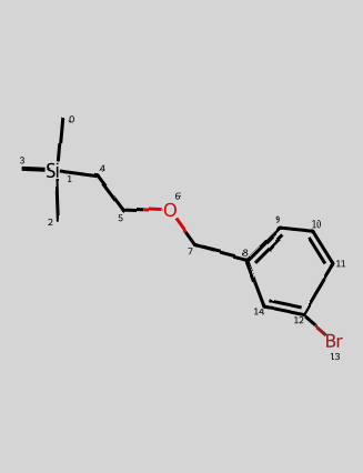 C[Si](C)(C)CCOCc1cccc(Br)c1